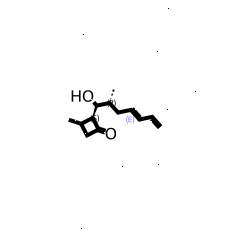 C=C/C=C/C[C@@H](C)C(O)[C@H]1C(=O)CC1C